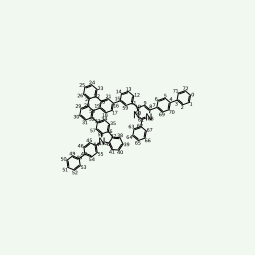 c1ccc(-c2ccc(-c3cc(-c4cccc(-c5ccc6c(c5)c5ccccc5c5cccc(-c7ccc8c9ccccc9n(-c9ccc(-c%10ccccc%10)cc9)c8c7)c56)c4)nc(-c4ccccc4)n3)cc2)cc1